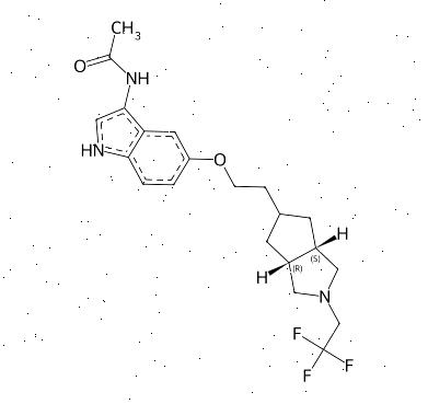 CC(=O)Nc1c[nH]c2ccc(OCCC3C[C@@H]4CN(CC(F)(F)F)C[C@@H]4C3)cc12